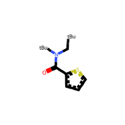 CC(C)(C)CN(C(=O)c1cccs1)C(C)(C)C